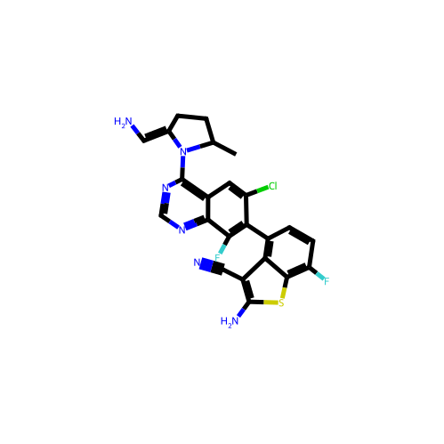 CC1CC/C(=C\N)N1c1ncnc2c(F)c(-c3ccc(F)c4sc(N)c(C#N)c34)c(Cl)cc12